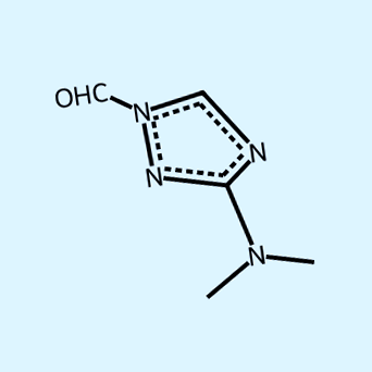 CN(C)c1ncn(C=O)n1